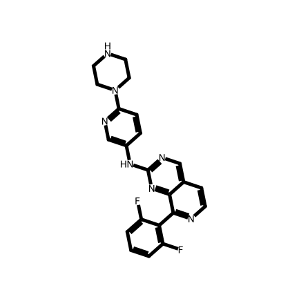 Fc1cccc(F)c1-c1nccc2cnc(Nc3ccc(N4CCNCC4)nc3)nc12